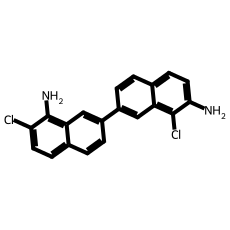 Nc1ccc2ccc(-c3ccc4ccc(Cl)c(N)c4c3)cc2c1Cl